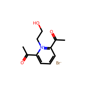 CC(=O)c1cccc(C(C)=O)[n+]1CCO.[Br-]